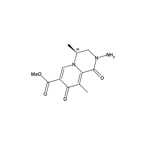 COC(=O)c1cn2c(c(C)c1=O)C(=O)N(N)C[C@@H]2C